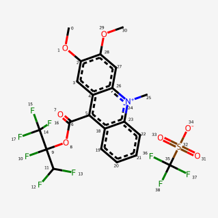 COc1cc2c(C(=O)OC(F)(C(F)F)C(F)(F)F)c3ccccc3[n+](C)c2cc1OC.O=S(=O)([O-])C(F)(F)F